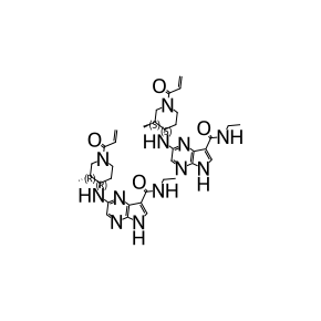 C=CC(=O)N1CC[C@@H](Nc2cnc3[nH]cc(C(=O)NCC)c3n2)[C@H](C)C1.C=CC(=O)N1CC[C@H](Nc2cnc3[nH]cc(C(=O)NCC)c3n2)[C@@H](C)C1